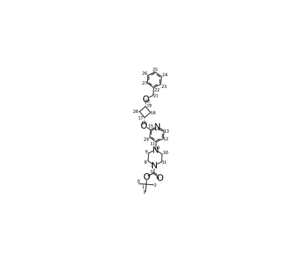 CC(C)(C)OC(=O)N1CCN(c2ccnc(O[C@H]3C[C@@H](OCc4ccccc4)C3)c2)CC1